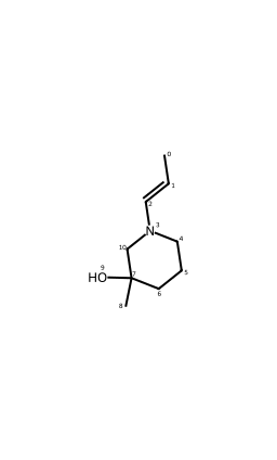 CC=CN1CCCC(C)(O)C1